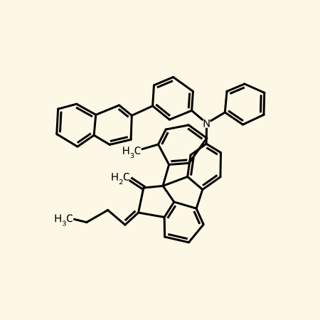 C=C1/C(=C\CCC)c2cccc3c2C1(c1ccccc1C)c1cc(N(c2ccccc2)c2cccc(-c4ccc5ccccc5c4)c2)ccc1-3